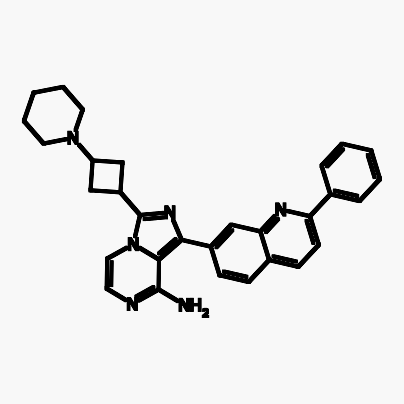 Nc1nccn2c(C3CC(N4CCCCC4)C3)nc(-c3ccc4ccc(-c5ccccc5)nc4c3)c12